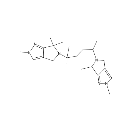 CC(CCC(C)(C)N1Cc2cn(C)nc2C1(C)C)N1Cc2cn(C)nc2C1C